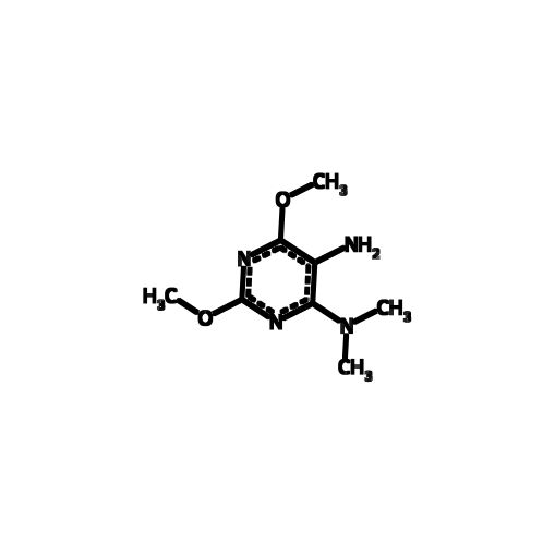 COc1nc(OC)c(N)c(N(C)C)n1